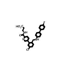 O=C(O)CCNC(=O)c1ccc(-c2cc(Cl)ccc2CNc2ccc(-c3ccc(F)cc3)cc2)cn1